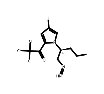 CCC[C@@H](CN=N)n1cc(I)cc1C(=O)C(Cl)(Cl)Cl